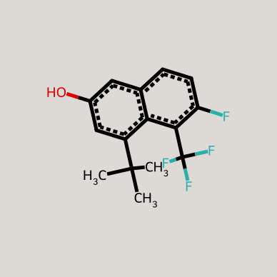 CC(C)(C)c1cc(O)cc2ccc(F)c(C(F)(F)F)c12